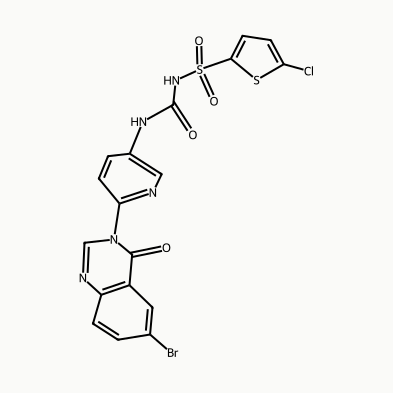 O=C(Nc1ccc(-n2cnc3ccc(Br)cc3c2=O)nc1)NS(=O)(=O)c1ccc(Cl)s1